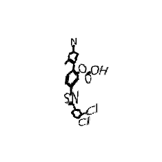 Cc1cc(C#N)ccc1-c1ccc(-c2nc(-c3ccc(Cl)c(Cl)c3)cs2)cc1OC(=O)O